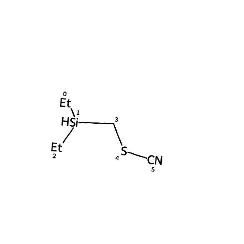 CC[SiH](CC)CSC#N